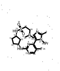 Cc1ncc(-c2nc(N[C@H]3CC[C@@H](NS(=O)(=O)CCN(C)C)C3)ncc2F)n1C(C)C